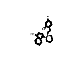 N#Cc1ccc(N2CCCCN2CCc2ccc(Cl)cc2Cl)c2ccccc12